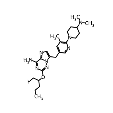 CCCC(CF)Oc1nc(N)c2ncc(Cc3cnc(N4CCC(N(C)C)CC4)c(C)c3)n2n1